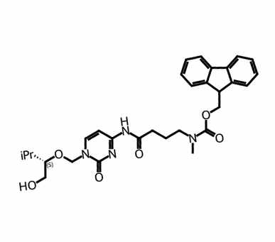 CC(C)[C@@H](CO)OCn1ccc(NC(=O)CCCN(C)C(=O)OCC2c3ccccc3-c3ccccc32)nc1=O